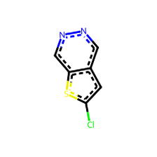 Clc1cc2cnncc2s1